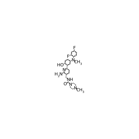 CN1CCN(C(=O)NCc2ccc(-c3cc(N(C)c4ccc(F)cc4F)ccc3O)nc2N)CC1